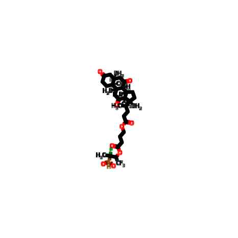 B[C@@]12CC(=O)CC[C@]1(C)[C@@]1(B)CC(=O)[C@@]3(C)[C@@](B)(CC[C@]3(B)C(C)CCC(=O)OCCCC(=O)OC(C(F)(F)F)C(C)(F)[SH](=O)=O)[C@@H]1C(=O)C2